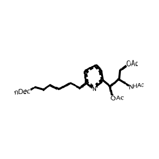 CCCCCCCCCCCCCCCCc1cccc(C(OC(C)=O)C(COC(C)=O)NC(C)=O)n1